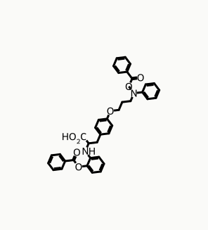 O=C(Oc1ccccc1NC(Cc1ccc(OCCCN(OC(=O)c2ccccc2)c2ccccc2)cc1)C(=O)O)c1ccccc1